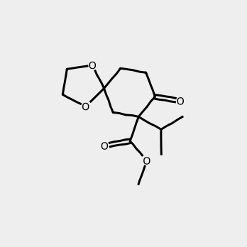 COC(=O)C1(C(C)C)CC2(CCC1=O)OCCO2